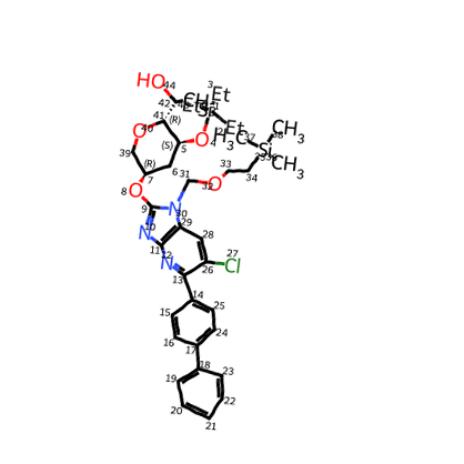 CC[Si](CC)(CC)O[C@H]1C[C@@H](Oc2nc3nc(-c4ccc(-c5ccccc5)cc4)c(Cl)cc3n2COCC[Si](C)(C)C)CO[C@@H]1C(C)O